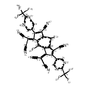 N#CC(C#N)=C1C(c2cnc(C(F)(F)F)nc2)=C(C#N)c2c(F)c3c(c(F)c21)C(=C(C#N)C#N)C(c1cnc(C(F)(F)F)nc1)=C3C#N